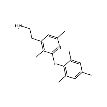 Cc1cc(C)c(Sc2nc(C)cc(CCN)c2C)c(C)c1